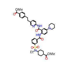 CCN(C1CCC(C(=O)OC)CC1)S(=O)(=O)c1cccc(C(=O)Nc2ccc(N3CCCCC3)cc2C(=O)Nc2ccc(CCc3ccc(C(=O)OC)cc3)cn2)c1